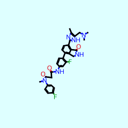 Cc1nc(-c2ccc(-c3ccc(NC(=O)CC(=O)N(C)c4ccc(F)cc4)cc3F)c3c2C(=O)NC3)[nH]c1CN(C)C